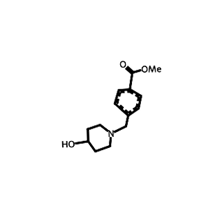 COC(=O)c1ccc(CN2CCC(O)CC2)cc1